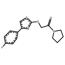 O=C(COc1nc(-c2ccc(F)cc2)cs1)N1CCCC1